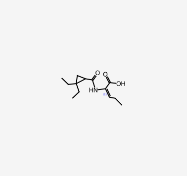 CC/C=C(/NC(=O)C1CC1(CC)CC)C(=O)O